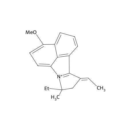 C/C=C1\CC(C)(CC)[N+]2=C1c1cccc3c(OC)ccc2c13